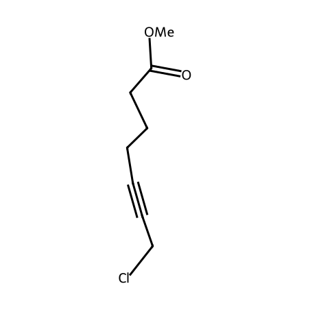 COC(=O)CCCC#CCCl